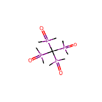 CP(C)(=O)C(P(C)(C)=O)(P(C)(C)=O)P(C)(C)=O